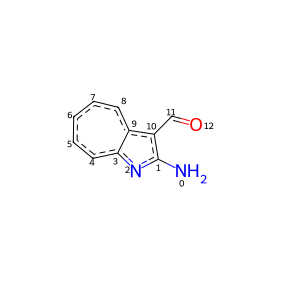 Nc1nc2cccccc-2c1C=O